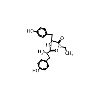 CCOC(=O)C(Cc1ccc(O)cc1)NC(=O)C(N)Cc1ccc(O)cc1